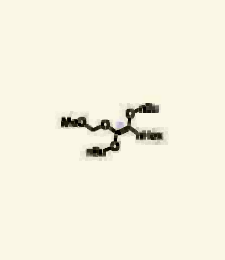 CCCCCC/C(OCCCC)=C(\OCCCC)OCOC